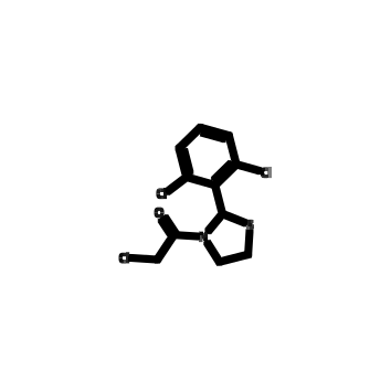 O=C(CCl)N1CCSC1c1c(Cl)cccc1Cl